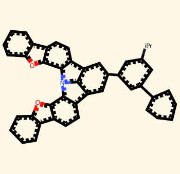 CC(C)c1cc(-c2ccccc2)cc(-c2cc3c4ccc5c6ccccc6oc5c4n4c3c(c2)c2ccc3c5ccccc5oc3c24)c1